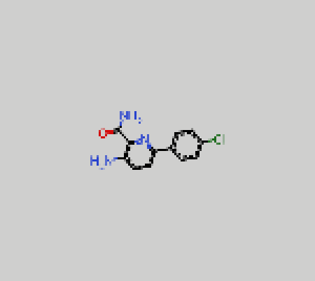 NC(=O)c1nc(-c2ccc(Cl)cc2)ccc1N